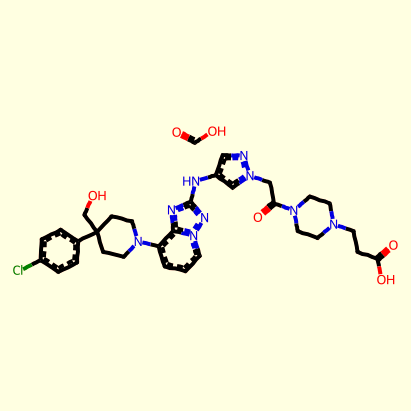 O=C(O)CCN1CCN(C(=O)Cn2cc(Nc3nc4c(N5CCC(CO)(c6ccc(Cl)cc6)CC5)cccn4n3)cn2)CC1.O=CO